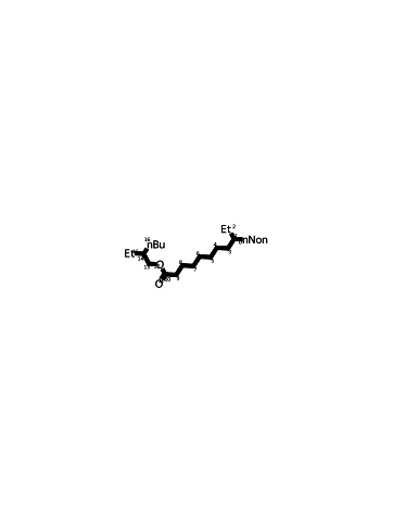 CCCCCCCCCC(CC)CCCCCCCC(=O)OCC(CC)CCCC